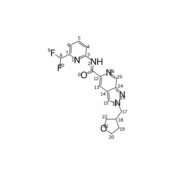 O=C(Nc1cccc(C(F)F)n1)c1cc2cn(CC3CCOC3)nc2cn1